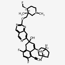 C#Cc1c(F)cc(F)c2c1C(N1C[C@H]3CC[C@@H](C1)N3)=CC(O)(c1cc3nc(OC[C@@]4(C)CN(C)CC[C@@H]4CF)ncc3cn1)C2